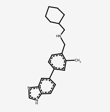 Cc1cc(-c2ccc3[nH]cnc3c2)ccc1CNCC1CCCCC1